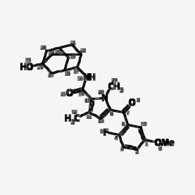 COc1ccc(F)c(C(=O)c2cc(C)c(C(=O)NC3C4CC5CC3CC(O)(C5)C4)n2C)c1